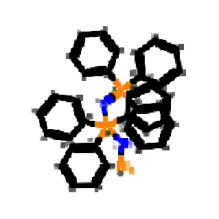 PNP(N=P(c1ccccc1)(c1ccccc1)c1ccccc1)(c1ccccc1)(c1ccccc1)c1ccccc1